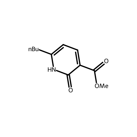 CCCCc1ccc(C(=O)OC)c(=O)[nH]1